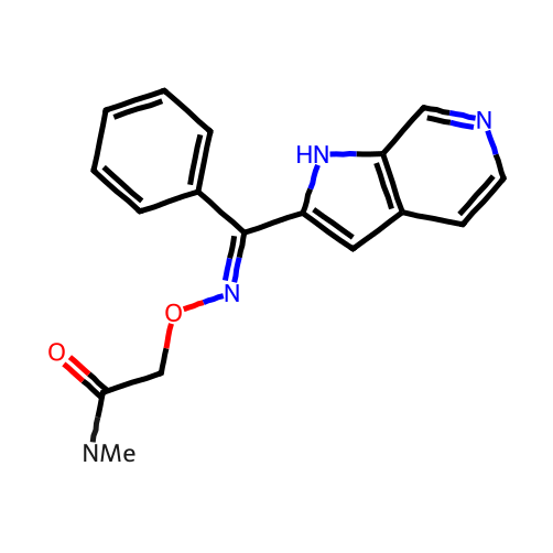 CNC(=O)CON=C(c1ccccc1)c1cc2ccncc2[nH]1